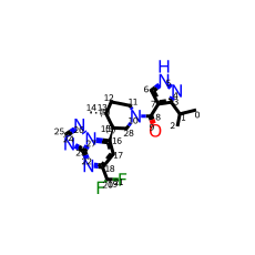 CC(C)c1n[nH]cc1C(=O)N1CC[C@@H](C)[C@H](c2cc(C(F)F)nc3ncnn23)C1